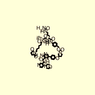 CC(C)[C@H](NC(=O)CCCCCN1C(=O)C=CC1=O)C(=O)N[C@@H](CCCNC(N)=O)C(=O)Nc1ccc(COC(=O)N2CC[C@H](Oc3ccc(-c4cnc(N)c(C(=O)Nc5cnccc5N5CCOCC5)n4)cc3)C2)cc1